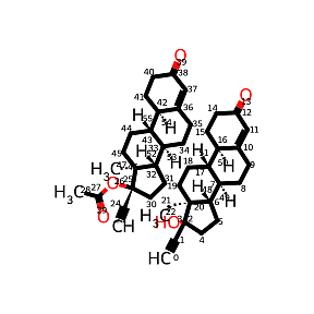 C#CC1(O)CC[C@H]2[C@@H]3CCC4=CC(=O)CC[C@@H]4[C@H]3CC[C@@]21CC.C#C[C@]1(OC(C)=O)CC[C@H]2[C@@H]3CCC4=CC(=O)CC[C@@H]4[C@H]3CC[C@@]21C